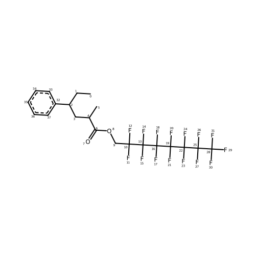 CCC(CC(C)C(=O)OCC(F)(F)C(F)(F)C(F)(F)C(F)(F)C(F)(F)C(F)(F)C(F)(F)F)c1ccccc1